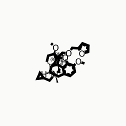 COc1ccc2c3c1O[C@H]1[C@@]4(OC)CC[C@@]5(C[C@@H]4COCc4ccco4)[C@@H](C2)[N@@+](C)(CC2CC2)CC[C@]315